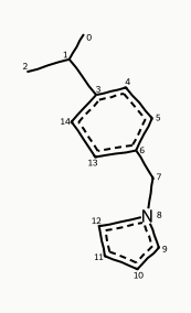 CC(C)c1ccc(Cn2cccc2)cc1